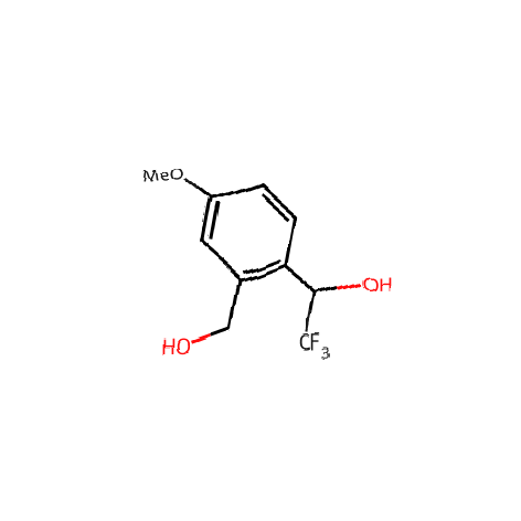 COc1ccc(C(O)C(F)(F)F)c(CO)c1